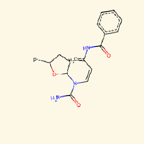 C=C(/C=C\N(C(N)=O)C1CCC(C(C)C)O1)NC(=O)c1ccccc1